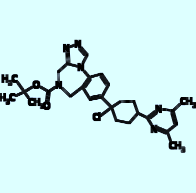 Cc1cc(C)nc(C2CCC(Cl)(c3ccc4c(c3)CN(C(=O)OC(C)(C)C)Cc3nncn3-4)CC2)n1